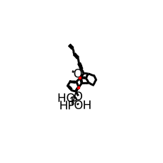 C#CC#CC#CC1C=C(C)C2CCCC1/C2=C(\OC)c1cccc(OP(O)(O)=P)c1